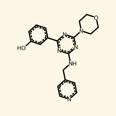 Oc1cccc(-c2nc(NCc3ccncc3)nc(N3CCOCC3)n2)c1